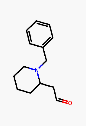 O=CCC1CCCCN1Cc1ccccc1